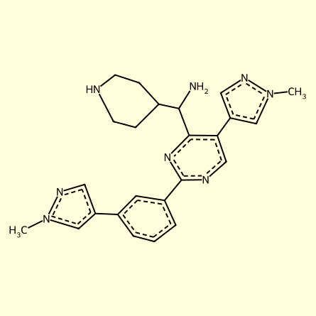 Cn1cc(-c2cccc(-c3ncc(-c4cnn(C)c4)c(C(N)C4CCNCC4)n3)c2)cn1